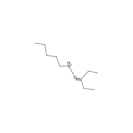 CCCCC[SiH2]O[SiH](CC)CC